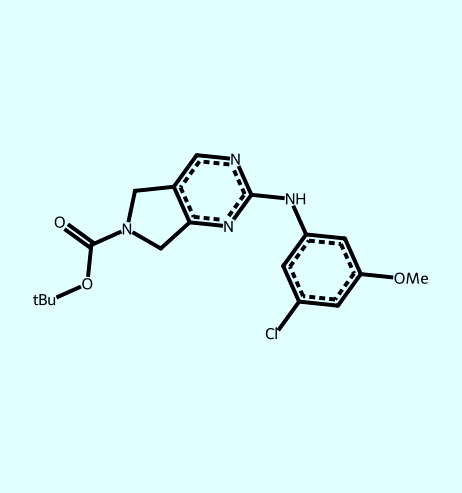 COc1cc(Cl)cc(Nc2ncc3c(n2)CN(C(=O)OC(C)(C)C)C3)c1